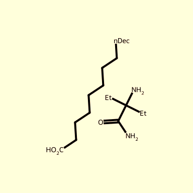 CCC(N)(CC)C(N)=O.CCCCCCCCCCCCCCCCCC(=O)O